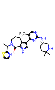 CC(c1nccs1)N1CCCc2c(-c3nc(N[C@H]4CCC(C)(C)NC4)ncc3C(F)(F)F)c[nH]c2C1=O